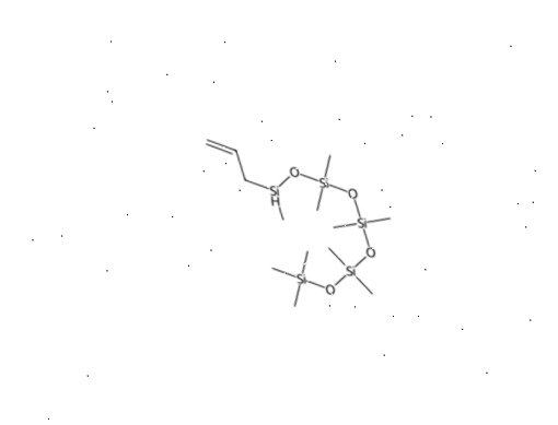 C=CC[SiH](C)O[Si](C)(C)O[Si](C)(C)O[Si](C)(C)O[Si](C)(C)C